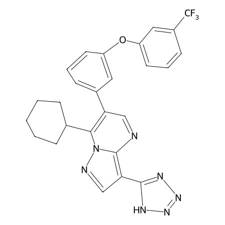 FC(F)(F)c1cccc(Oc2cccc(-c3cnc4c(-c5nnn[nH]5)cnn4c3C3CCCCC3)c2)c1